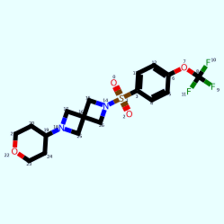 O=S(=O)(c1ccc(OC(F)(F)F)cc1)N1CC2(CN(C3CCOCC3)C2)C1